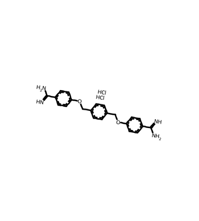 Cl.Cl.N=C(N)c1ccc(OCc2ccc(COc3ccc(C(=N)N)cc3)cc2)cc1